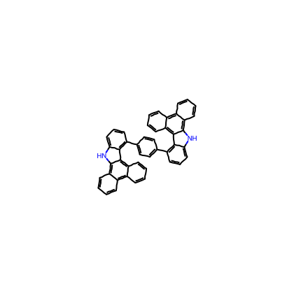 c1cc(-c2ccc(-c3cccc4[nH]c5c6ccccc6c6ccccc6c5c34)cc2)c2c(c1)[nH]c1c3ccccc3c3ccccc3c12